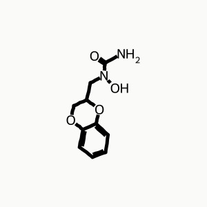 NC(=O)N(O)CC1COc2ccccc2O1